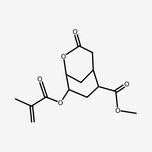 C=C(C)C(=O)OC1CC(C(=O)OC)C2CC(=O)OC1C2